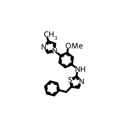 COc1cc(Nc2ncc(Cc3ccccc3)s2)ccc1-n1cnc(C)c1